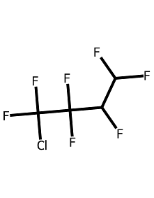 FC(F)C(F)C(F)(F)C(F)(F)Cl